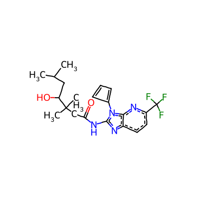 CC(C)CC(O)C(C)(C)CC(=O)Nc1nc2ccc(C(F)(F)F)nc2n1C1=CC=C1